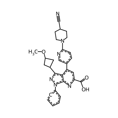 COC1CC(c2nn(-c3ccccc3)c3nc(C(=O)O)cc(-c4ccc(N5CCC(C#N)CC5)nc4)c23)C1